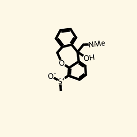 CNCC1(O)c2ccccc2COc2c([S+](C)[O-])cccc21